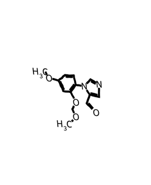 COCOc1cc(OC)ccc1-n1cncc1C=O